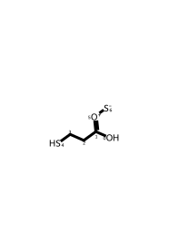 OC(CCS)=[O+][S-]